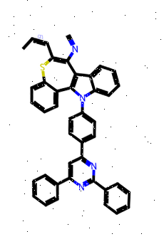 C=NC1=C(/C=C\C)Sc2ccccc2-c2c1c1ccccc1n2-c1ccc(-c2cc(-c3ccccc3)nc(-c3ccccc3)n2)cc1